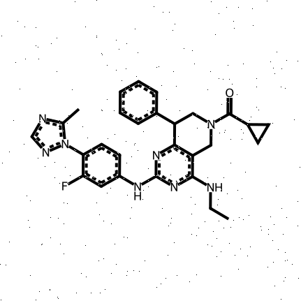 CCNc1nc(Nc2ccc(-n3ncnc3C)c(F)c2)nc2c1CN(C(=O)C1CC1)CC2c1ccccc1